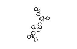 c1ccc(-c2nc(-c3ccc4c(c3)oc3ccccc34)nc(-c3ccc4c(c3)sc3cccc(-c5ccccc5-c5ccc6c(c5)c5ccccc5n6-c5ccccc5)c34)n2)cc1